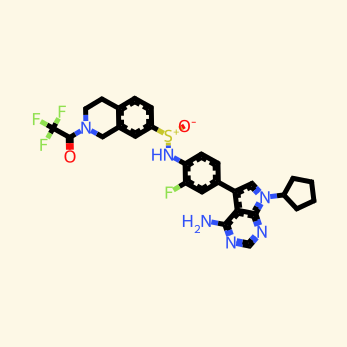 Nc1ncnc2c1c(-c1ccc(N[S+]([O-])c3ccc4c(c3)CN(C(=O)C(F)(F)F)CC4)c(F)c1)cn2C1CCCC1